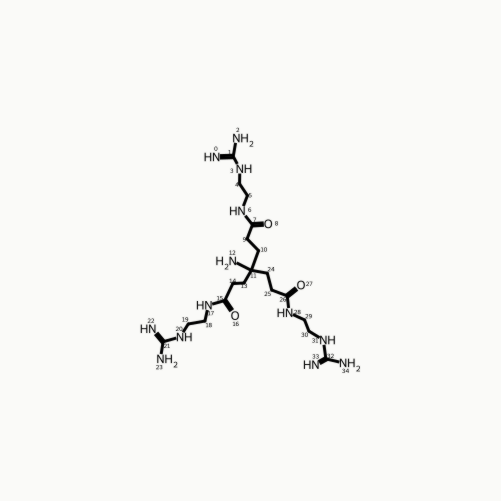 N=C(N)NCCNC(=O)CCC(N)(CCC(=O)NCCNC(=N)N)CCC(=O)NCCNC(=N)N